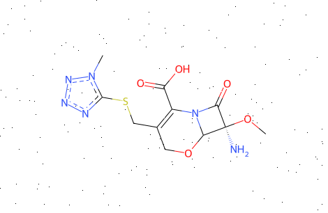 CO[C@]1(N)C(=O)N2C(C(=O)O)=C(CSc3nnnn3C)COC21